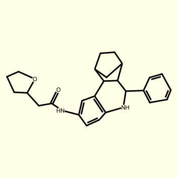 O=C(CC1CCCO1)Nc1ccc2c(c1)C1C3CCC(C3)C1C(c1ccccc1)N2